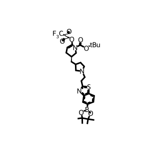 CC(C)(C)OC(=O)N1C[C@@H](CC2CCN(CCc3nc4cc(B5OC(C)(C)C(C)(C)O5)ccc4s3)C2)CC=C1OS(=O)(=O)C(F)(F)F